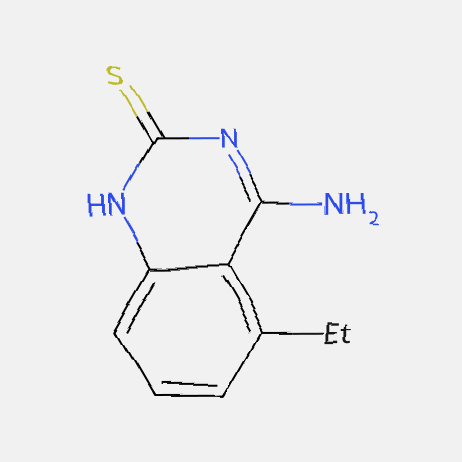 CCc1cccc2[nH]c(=S)nc(N)c12